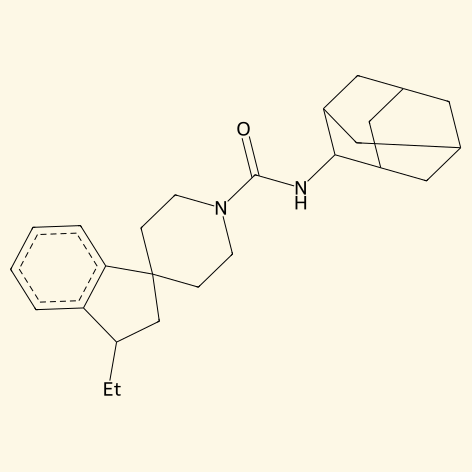 CCC1CC2(CCN(C(=O)NC3C4CC5CC(C4)CC3C5)CC2)c2ccccc21